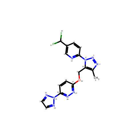 Cc1nnn(-c2ccc(C(F)F)cn2)c1COc1ccc(-n2nccn2)nn1